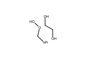 CCCCOO.OCCO